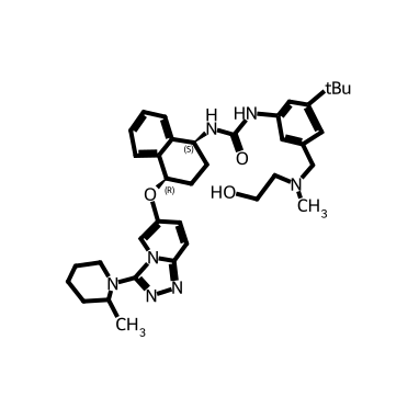 CC1CCCCN1c1nnc2ccc(O[C@@H]3CC[C@H](NC(=O)Nc4cc(CN(C)CCO)cc(C(C)(C)C)c4)c4ccccc43)cn12